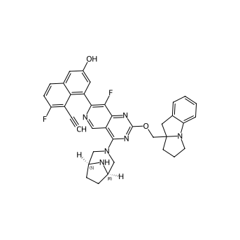 C#Cc1c(F)ccc2cc(O)cc(-c3ncc4c(N5C[C@H]6CC[C@@H](C5)N6)nc(OCC56CCCN5c5ccccc5C6)nc4c3F)c12